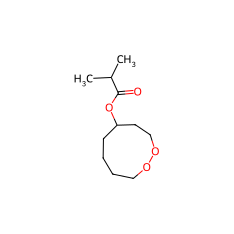 CC(C)C(=O)OC1CCCCOOCC1